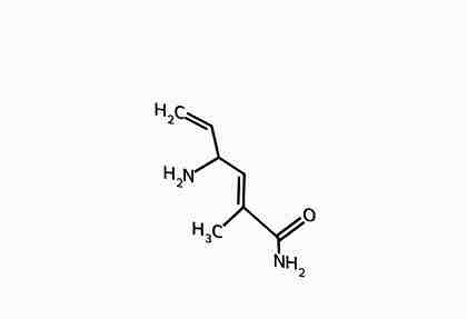 C=CC(N)/C=C(\C)C(N)=O